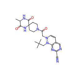 CC1NC(=O)C2(CCN(C(=O)CN3C=Cc4cnc(C#N)nc4N3CC(C)(C)C)CC2)NC1=O